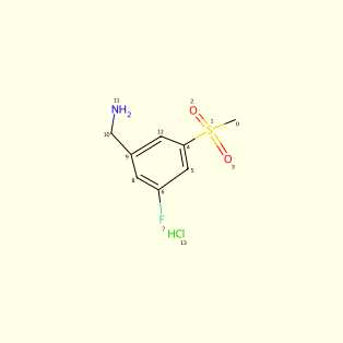 CS(=O)(=O)c1cc(F)cc(CN)c1.Cl